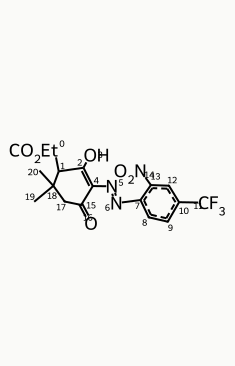 CCOC(=O)C1C(O)=C(/N=N/c2ccc(C(F)(F)F)cc2[N+](=O)[O-])C(=O)CC1(C)C